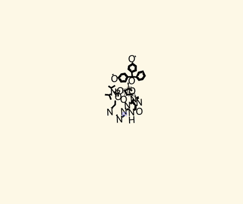 COc1ccc(C(OC[C@H]2O[C@@H](n3cnc4c(=O)[nH]c(/N=C/N(C)C)nc43)[C@@H](OC)[C@H]2OP(OCCC#N)N(C(C)C)C(C)C)(c2ccccc2)c2ccc(OC)cc2)cc1